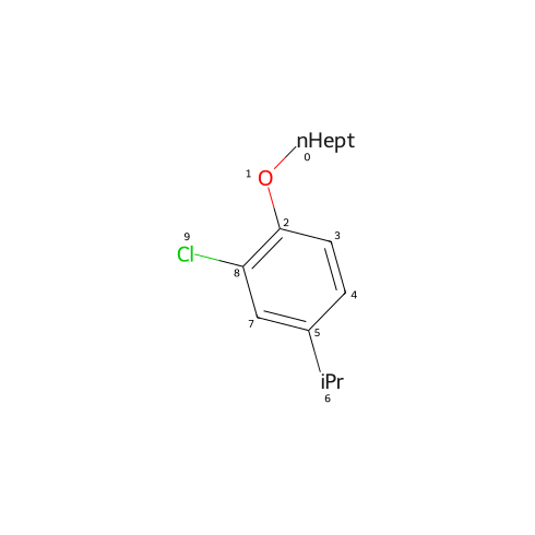 CCCCCCCOc1ccc(C(C)C)cc1Cl